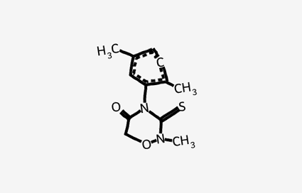 Cc1ccc(C)c(N2C(=O)CON(C)C2=S)c1